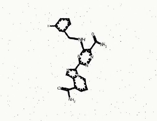 NC(=O)c1nnc(-c2ncc3c(C(N)=O)cccn23)nc1NCc1cccc(F)c1